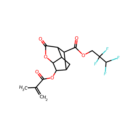 C=C(C)C(=O)OC1C2CC3C1OC(=O)C3C2C(=O)OCC(F)(F)C(F)F